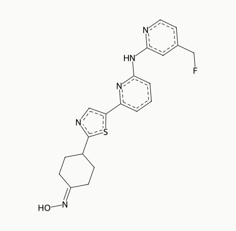 ON=C1CCC(c2ncc(-c3cccc(Nc4cc(CF)ccn4)n3)s2)CC1